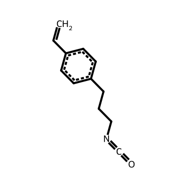 C=Cc1ccc(CCCN=C=O)cc1